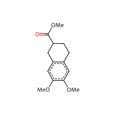 COC(=O)C1CCc2cc(OC)c(OC)cc2C1